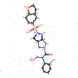 O=C(C(CO)c1ccccc1F)N1Cc2cn(S(=O)(=O)c3ccc4occc4c3)nc2C1